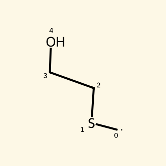 [CH2]SCCO